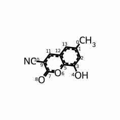 Cc1cc(O)c2oc(=O)c(C#N)cc2c1